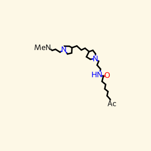 CNCCCN1CCC(CCCC2CCN(CCCNC(=O)CCCCCCC(C)=O)CC2)CC1